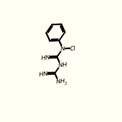 N=C(N)NC(=N)N(Cl)c1ccccc1